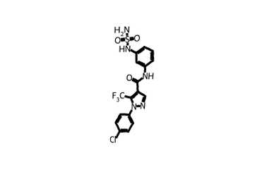 NS(=O)(=O)Nc1cccc(NC(=O)c2cnn(-c3ccc(Cl)cc3)c2C(F)(F)F)c1